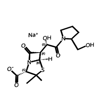 CC1(C)S[C@@H]2[C@H]([C@H](O)C(=O)N3CCCC3CO)C(=O)N2[C@H]1C(=O)[O-].[Na+]